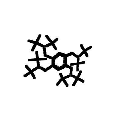 CC(C)(C)P(Cc1cc(CP(C(C)(C)C)C(C)(C)C)c(CP(C(C)(C)C)C(C)(C)C)cc1CP(C(C)(C)C)C(C)(C)C)C(C)(C)C